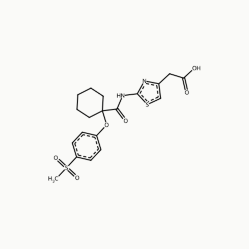 CS(=O)(=O)c1ccc(OC2(C(=O)Nc3nc(CC(=O)O)cs3)CCCCC2)cc1